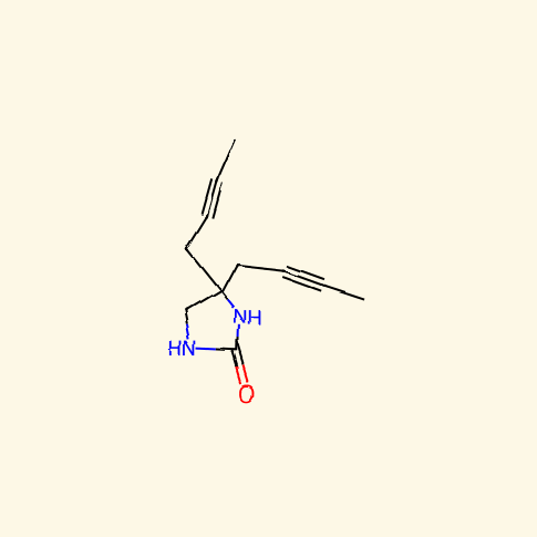 CC#CCC1(CC#CC)CNC(=O)N1